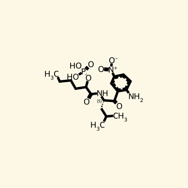 CCCCC(OP(=O)(O)O)C(=O)N[C@@H](CC(C)C)C(=O)c1cc([N+](=O)[O-])ccc1N